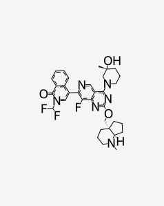 CN1CCC[C@@]2(COc3nc(N4CCC[C@@](C)(O)C4)c4cnc(-c5cn(C(F)F)c(=O)c6ccccc56)c(F)c4n3)CCC[C@@H]12